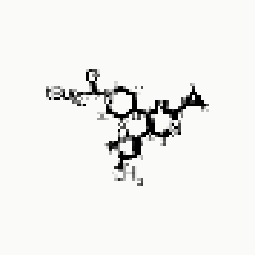 Cc1cc(-c2cnc(C3CC3)nc2C2CCN(C(=O)OC(C)(C)C)CC2)on1